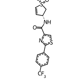 O=C(N[C@@H]1C=CS(=O)(=O)C1)c1csc(-c2ccc(C(F)(F)F)cc2)n1